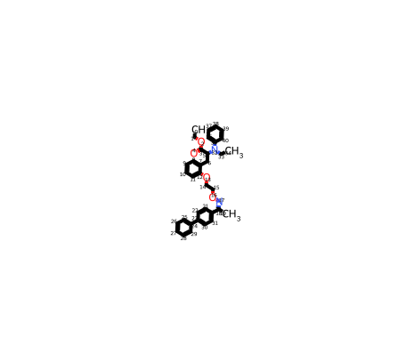 CCOC(=O)C(Cc1ccccc1OCCON=C(C)c1ccc(-c2ccccc2)cc1)N(CC)c1ccccc1